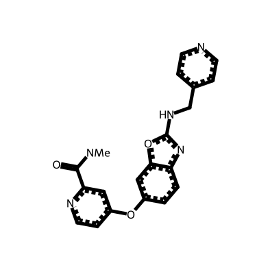 CNC(=O)c1cc(Oc2ccc3nc(NCc4ccncc4)oc3c2)ccn1